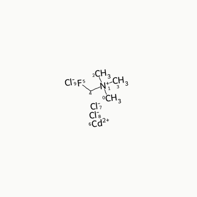 C[N+](C)(C)CF.[Cd+2].[Cl-].[Cl-].[Cl-]